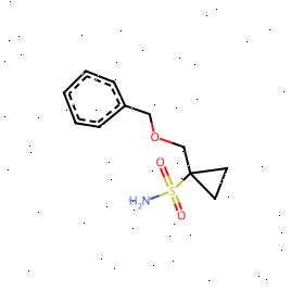 NS(=O)(=O)C1(COCc2ccccc2)CC1